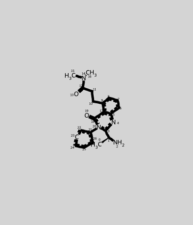 C[C@H](N)c1nc2cccc(CCC(=O)N(C)C)c2c(=O)n1-c1ccccc1